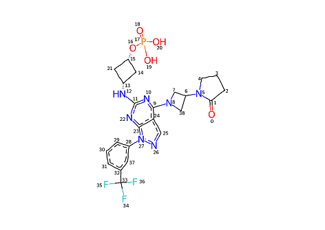 O=C1CCCN1C1CN(c2nc(N[C@H]3C[C@@H](OP(=O)(O)O)C3)nc3c2cnn3-c2cccc(C(F)(F)F)c2)C1